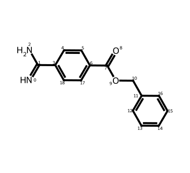 N=C(N)c1ccc(C(=O)OCc2ccccc2)cc1